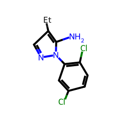 [CH2]Cc1cnn(-c2cc(Cl)ccc2Cl)c1N